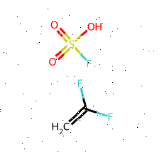 C=C(F)F.O=S(=O)(O)F